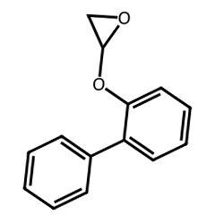 c1ccc(-c2ccccc2OC2CO2)cc1